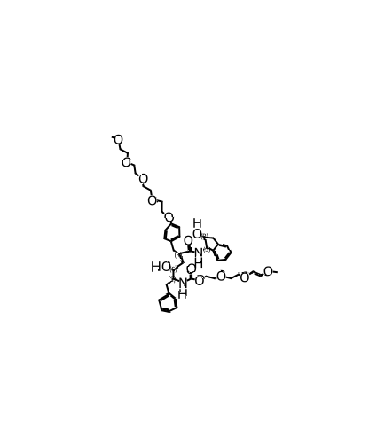 COCCOCCOCCOCCOc1ccc(C[C@H](C[C@H](O)[C@H](Cc2ccccc2)NC(=O)OCCOCCOCCOC)C(=O)N[C@H]2c3ccccc3C[C@H]2O)cc1